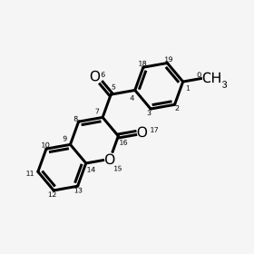 Cc1ccc(C(=O)c2cc3ccccc3oc2=O)cc1